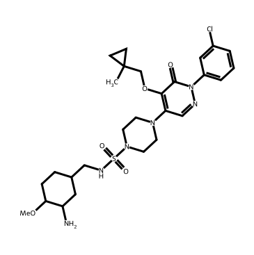 COC1CCC(CNS(=O)(=O)N2CCN(c3cnn(-c4cccc(Cl)c4)c(=O)c3OCC3(C)CC3)CC2)CC1N